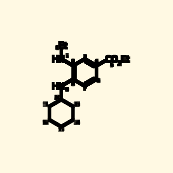 CCNc1cc(C(=O)OCC)ccc1NC1CCCCC1